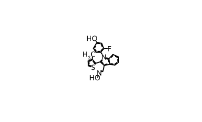 Cc1ccsc1-c1c(/C=N/O)c2ccccc2n1-c1ccc(O)cc1F